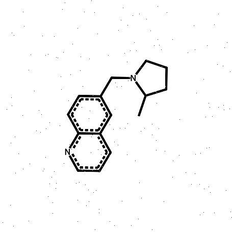 CC1CCCN1Cc1ccc2ncccc2c1